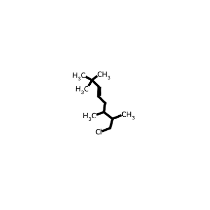 CC(CCl)C(C)CC=CC(C)(C)C